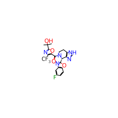 CC(C)(O)c1nc(C(F)(F)F)c(C(=O)N2CCc3[nH]cnc3[C@H]2c2nc3cc(F)ccc3o2)o1